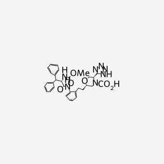 COC(=O)N[C@H](C(=O)Nc1ccccc1CC[C@@H]1CN(C(=O)O)[C@H](c2nnn[nH]2)CO1)C(c1ccccc1)c1ccccc1